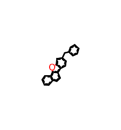 c1ccc(Cc2ccc3c(c2)oc2c4ccccc4ccc32)cc1